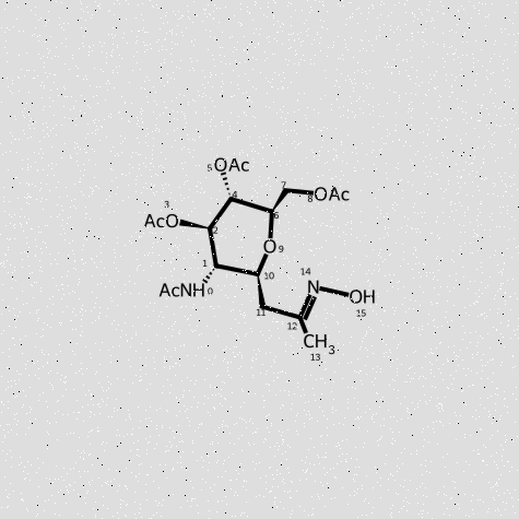 CC(=O)N[C@@H]1[C@@H](OC(C)=O)[C@H](OC(C)=O)[C@@H](COC(C)=O)O[C@H]1CC(C)=NO